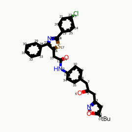 CC(C)(C)c1cc(CC(=O)Cc2ccc(NC(=O)Cc3sc(-c4ccc(Cl)cc4)nc3-c3ccccc3)cc2)no1